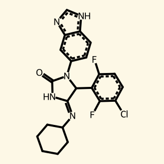 O=C1NC(=NC2CCCCC2)C(c2c(F)ccc(Cl)c2F)N1c1ccc2[nH]cnc2c1